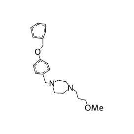 COCCCN1CCN(Cc2ccc(OCc3ccccc3)cc2)CC1